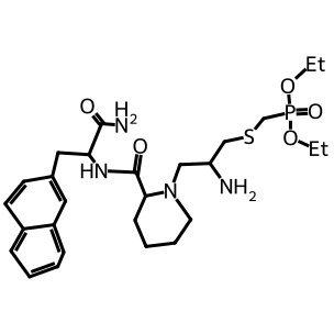 CCOP(=O)(CSCC(N)CN1CCCCC1C(=O)NC(Cc1ccc2ccccc2c1)C(N)=O)OCC